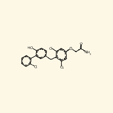 NC(=O)COc1cc(Cl)c(Cc2ccc(O)c(-c3ccccc3Cl)c2)c(Cl)c1